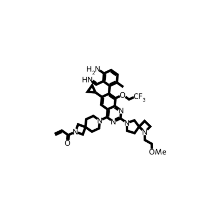 C=CC(=O)N1CC2(CCN(c3nc(N4CCC5(CCN5CCOC)C4)nc4c(OCC(F)(F)F)c(-c5c(C)ccc(N)c5C=N)c(C5CC5)cc34)CC2)C1